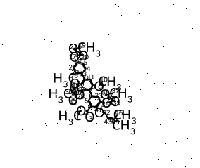 COC(=O)c1cc(-c2c(OC)cc(-c3ccc(OS(C)(=O)=O)cc3)c(OC)c2OS(C)(=O)=O)cc(OS(C)(=O)=O)c1OCC=C(C)C